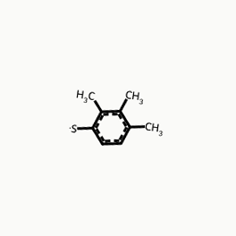 Cc1ccc([S])c(C)c1C